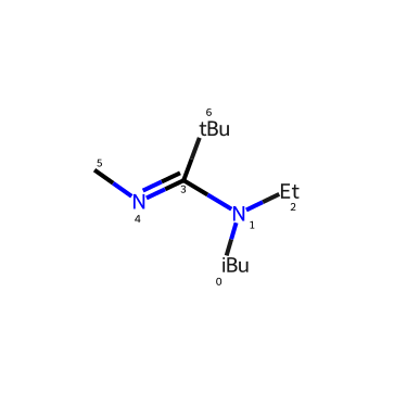 CCC(C)N(CC)C(=NC)C(C)(C)C